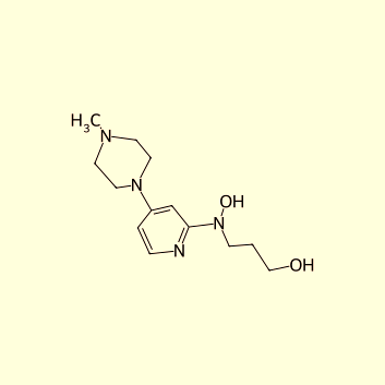 CN1CCN(c2ccnc(N(O)CCCO)c2)CC1